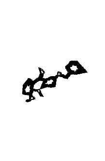 COc1cccc(C(=O)c2cccc(OCc3ccccc3)c2)c1OC